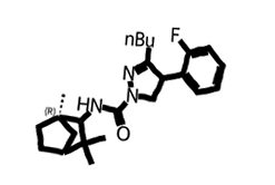 CCCCC1=NN(C(=O)NC2C(C)(C)C3CC[C@]2(C)C3)CC1c1ccccc1F